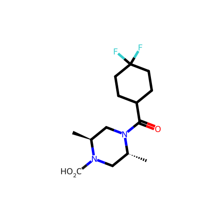 C[C@@H]1CN(C(=O)O)[C@@H](C)CN1C(=O)C1CCC(F)(F)CC1